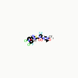 CC(C)C1=C(C(=O)N2CC(F)(F)C[C@H]2C(=O)N2CC3(CC3)N(C(=O)C(F)(F)F)C[C@H]2C)SC2=N[C@@](C)(c3ccc(Cl)nc3)[C@@H](c3ccc(Cl)c(F)c3)N21